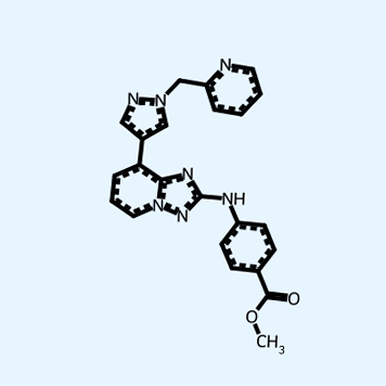 COC(=O)c1ccc(Nc2nc3c(-c4cnn(Cc5ccccn5)c4)cccn3n2)cc1